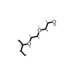 CCC(C)OCCOCC[O]